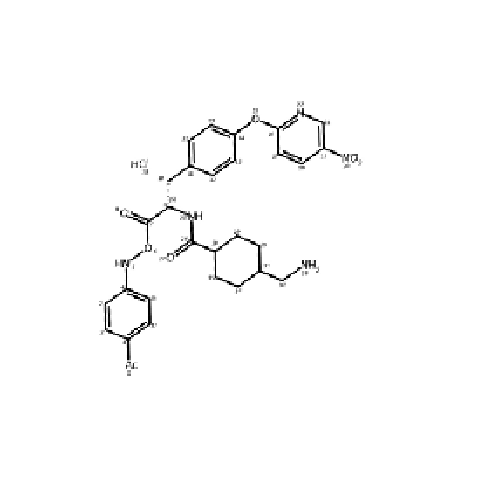 CC(=O)c1ccc(NOC(=O)[C@H](Cc2ccc(Oc3ccc([N+](=O)[O-])cn3)cc2)NC(=O)C2CCC(CN)CC2)cc1.Cl